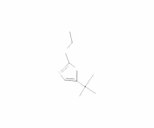 CCOc1ncc(C(C)(C)C)s1